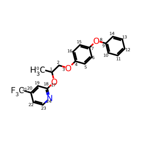 CC(COc1ccc(Oc2ccccc2)cc1)Oc1cc(C(F)(F)F)ccn1